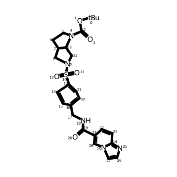 CC(C)(C)OC(=O)N1CCC2CN(S(=O)(=O)c3ccc(CNC(=O)c4ccc5nccn5c4)cc3)CC21